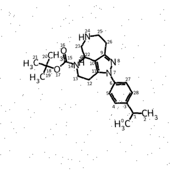 CC(C)c1ccc(-n2nc3c4c2CCN(C(=O)OC(C)(C)C)[C@H]4CNCC3)cc1